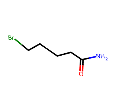 NC(=O)CCCCBr